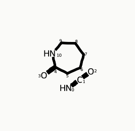 N=C=O.O=C1CCCCCN1